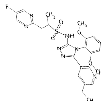 CCc1cncc(-c2nnc(NS(=O)(=O)C(C)Cc3ncc(F)cn3)n2-c2c(OC)cccc2OC)c1